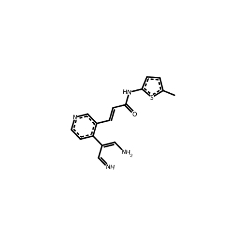 Cc1ccc(NC(=O)/C=C/c2cnccc2/C(C=N)=C/N)s1